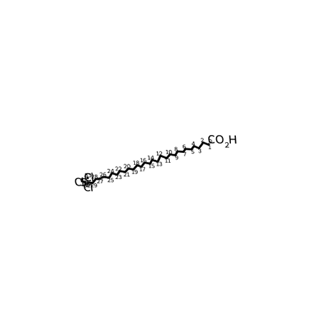 O=C(O)CCCCCCCCCCCCCCCCCCCCCCCCCCCCC[Si](Cl)(Cl)Cl